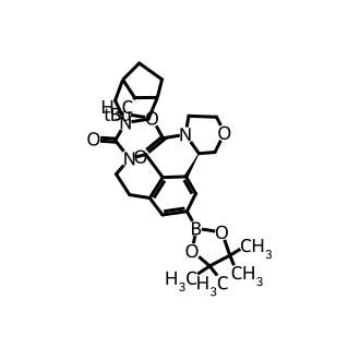 CC1C2CCC1CN(C(=O)N1CCc3cc(B4OC(C)(C)C(C)(C)O4)cc([C@@H]4COCCN4C(=O)OC(C)(C)C)c3C1)C2